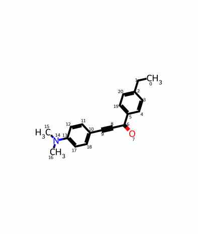 CCc1ccc(C(=O)C#Cc2ccc(N(C)C)cc2)cc1